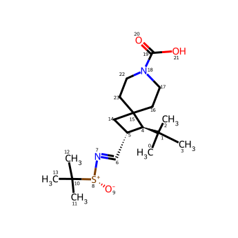 CC(C)(C)[C@H]1[C@H](/C=N/[S@+]([O-])C(C)(C)C)CC12CCN(C(=O)O)CC2